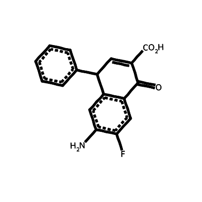 Nc1cc2c(cc1F)C(=O)C(C(=O)O)=CC2c1ccccc1